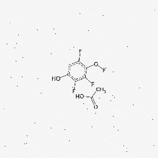 CC(=O)O.Oc1cc(F)c(OF)c(F)c1F